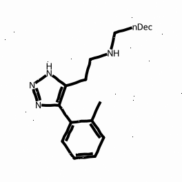 CCCCCCCCCCCNCCc1[nH]nnc1-c1ccccc1C